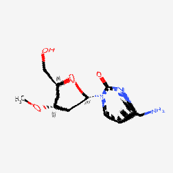 CO[C@H]1C[C@@H](n2ccc(N)nc2=O)O[C@@H]1CO